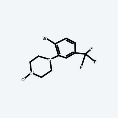 [O-][S+]1CCN(c2cc(C(F)(F)F)ccc2Br)CC1